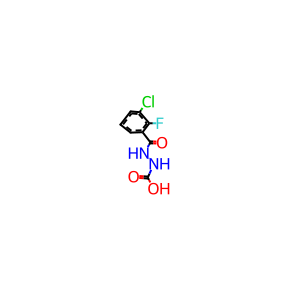 O=C(O)NNC(=O)c1cccc(Cl)c1F